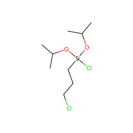 CC(C)O[Si](Cl)(CCCCl)OC(C)C